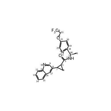 C[C@@H](NC(=O)C1CC1c1cnc2ccccc2c1)c1ccc(OCC(F)(F)F)cn1